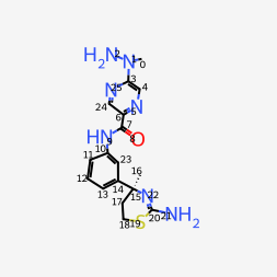 CN(N)c1cnc(C(=O)Nc2cccc([C@]3(C)CCSC(N)=N3)c2)cn1